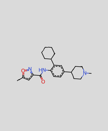 Cc1cc(C(=O)Nc2ccc(C3CCN(C)CC3)cc2C2CCCCC2)no1